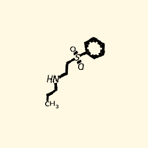 CCCNCCS(=O)(=O)c1ccccc1